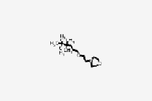 CC(C)(C)C(C)(C)CCCOCCN1CCOCC1